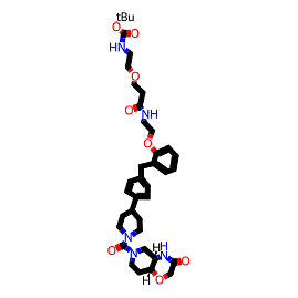 CC(C)(C)OC(=O)NCCOCCC(=O)NCCOc1ccccc1Cc1ccc(C2CCN(C(=O)N3CC[C@@H]4OCC(=O)N[C@@H]4C3)CC2)cc1